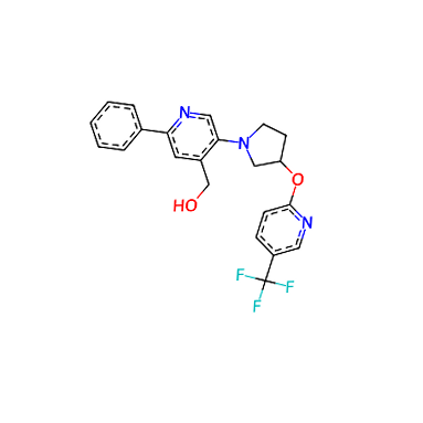 OCc1cc(-c2ccccc2)ncc1N1CCC(Oc2ccc(C(F)(F)F)cn2)C1